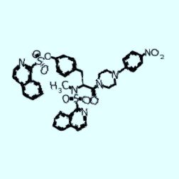 CN([C@@H](Cc1ccc(OS(=O)(=O)c2nccc3ccccc23)cc1)C(=O)N1CCN(c2ccc([N+](=O)[O-])cc2)CC1)S(=O)(=O)c1nccc2ccccc12